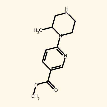 COC(=O)c1ccc(N2CCNCC2C)nc1